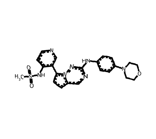 CS(=O)(=O)Nc1ccncc1-c1ccc2cnc(Nc3ccc(N4CCOCC4)cc3)nn12